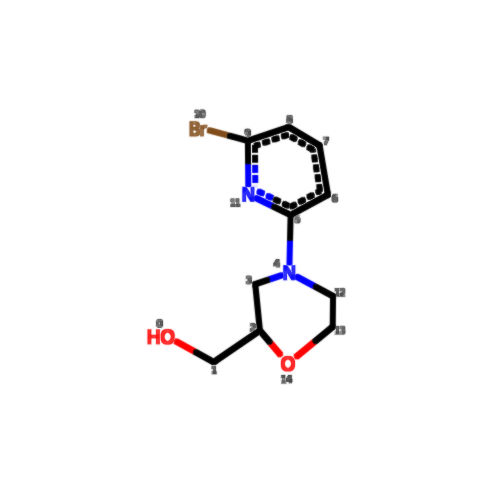 OCC1CN(c2cccc(Br)n2)CCO1